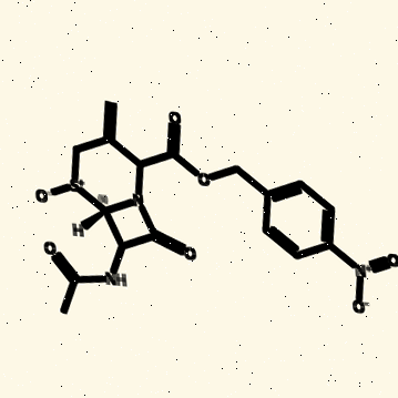 C=C1C[S+]([O-])[C@H]2C(NC(C)=O)C(=O)N2C1C(=O)OCc1ccc([N+](=O)[O-])cc1